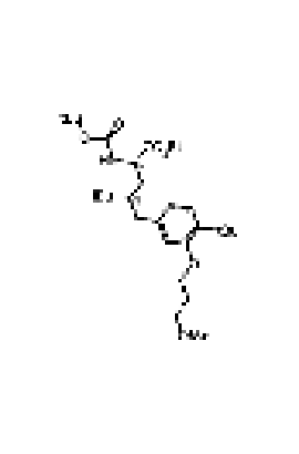 CCOC(=O)[C@H](C[C@H](Cc1ccc(C(C)(C)C)c(OCCCOC)c1)C(C)CC)NC(=O)OC(C)(C)C